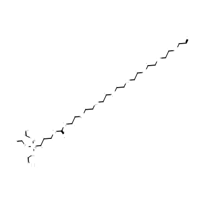 C=CCOCCOCCOCCOCCOCCOCCOCCNC(=O)NCCC[Si](OCC)(OCC)OCC